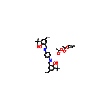 CC(=O)[O-].CC(=O)[O-].CCc1cc(C=Nc2ccc(N=Cc3cc(CC)cc(C(C)(C)C)c3O)cc2)c(O)c(C(C)(C)C)c1.[Co+2]